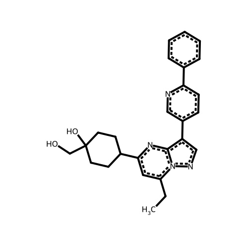 CCc1cc(C2CCC(O)(CO)CC2)nc2c(-c3ccc(-c4ccccc4)nc3)cnn12